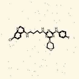 Fc1ccc(Nc2nc(NCCCCNc3ccnc4cc(Cl)ccc34)nc(N3CCOCC3)n2)cc1